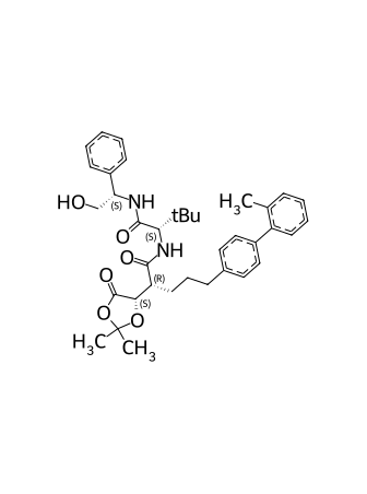 Cc1ccccc1-c1ccc(CCC[C@@H](C(=O)N[C@H](C(=O)N[C@H](CO)c2ccccc2)C(C)(C)C)[C@@H]2OC(C)(C)OC2=O)cc1